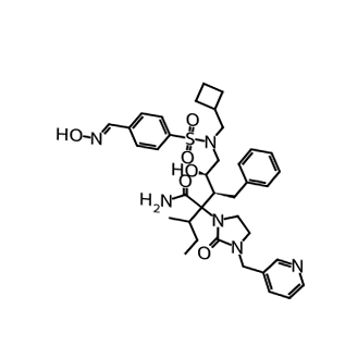 CCC(C)C(C(N)=O)([C@H](Cc1ccccc1)[C@@H](O)CN(CC1CCC1)S(=O)(=O)c1ccc(C=NO)cc1)N1CCN(Cc2cccnc2)C1=O